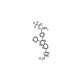 Nc1nnc(-c2ccc3nc(-c4ccc(C(N)OC(=O)C(F)(F)F)cc4)c(-c4ccccc4)nc3n2)s1